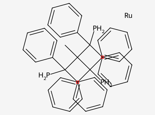 CC(C(P)(c1ccccc1)c1ccccc1)(C(P)(c1ccccc1)c1ccccc1)C(P)(c1ccccc1)c1ccccc1.[Ru]